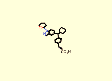 O=C(O)/C=C/c1ccc(C(=C2CCCCC2)c2ccc3c(cnn3C3CCCCO3)c2)cc1